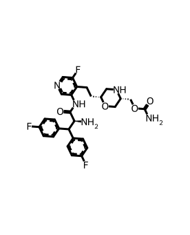 NC(=O)OC[C@@H]1CO[C@H](CCc2c(F)cncc2NC(=O)[C@@H](N)C(c2ccc(F)cc2)c2ccc(F)cc2)CN1